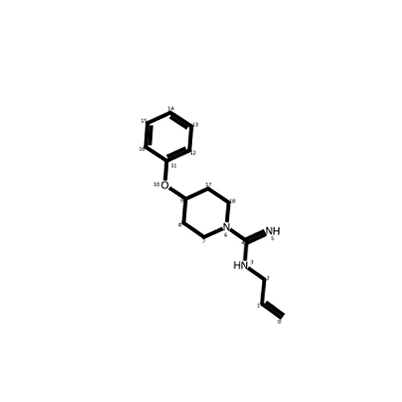 C=CCNC(=N)N1CCC(Oc2ccccc2)CC1